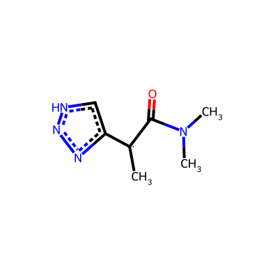 C[C](C(=O)N(C)C)c1c[nH]nn1